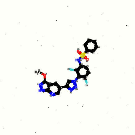 COc1n[nH]c2ncc(-c3cn(-c4c(F)ccc(NS(=O)(=O)c5ccccc5)c4F)nn3)cc12